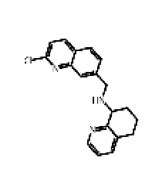 Clc1ccc2ccc(CNC3CCCc4cccnc43)cc2n1